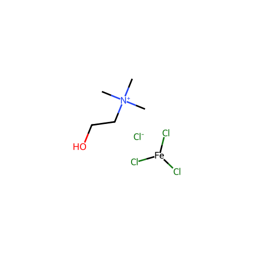 C[N+](C)(C)CCO.[Cl-].[Cl][Fe]([Cl])[Cl]